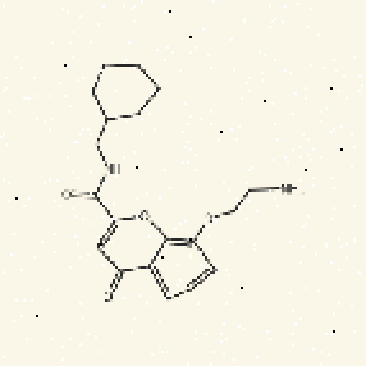 NCCOc1cccc2c(=O)cc(C(=O)NCC3CCCCC3)oc12